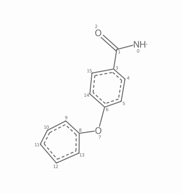 [NH]C(=O)c1ccc(Oc2ccccc2)cc1